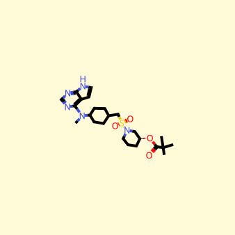 CN(c1ncnc2[nH]ccc12)C1CCC(CS(=O)(=O)N2CCC[C@@H](OC(=O)C(C)(C)C)C2)CC1